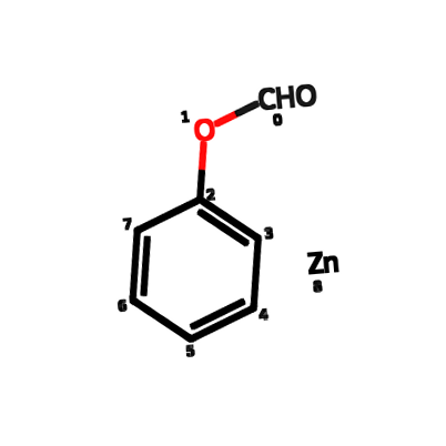 O=COc1ccccc1.[Zn]